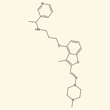 Cc1c(/C=N/N2CCN(C)CC2)oc2cccc(OCCCNC(C)c3cccnc3)c12